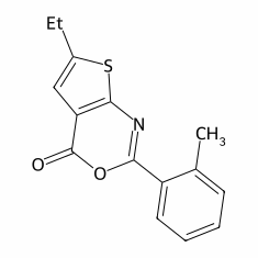 CCc1cc2c(=O)oc(-c3ccccc3C)nc2s1